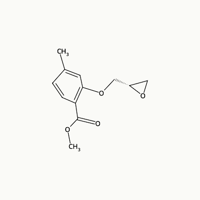 COC(=O)c1ccc(C)cc1OC[C@@H]1CO1